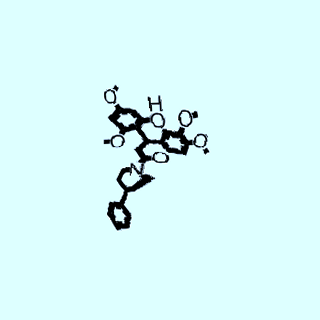 COc1cc(O)c(C(CC(=O)N2CCC(c3ccccc3)CC2)c2ccc(OC)c(OC)c2)c(OC)c1